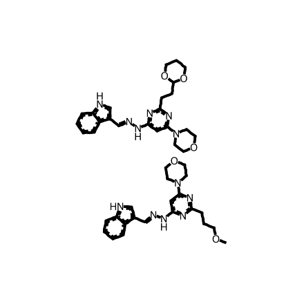 C(=NNc1cc(N2CCOCC2)nc(CCC2OCCCO2)n1)c1c[nH]c2ccccc12.COCCCc1nc(NN=Cc2c[nH]c3ccccc23)cc(N2CCOCC2)n1